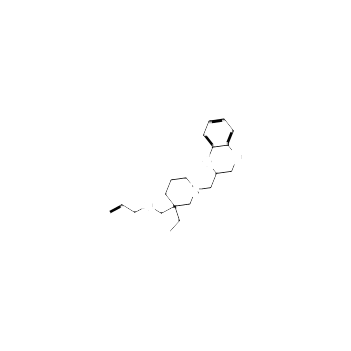 C=CCOCC1(CC)CCCN(CC2COc3ccccc3O2)C1